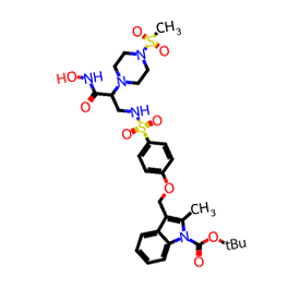 Cc1c(COc2ccc(S(=O)(=O)NCC(C(=O)NO)N3CCN(S(C)(=O)=O)CC3)cc2)c2ccccc2n1C(=O)OC(C)(C)C